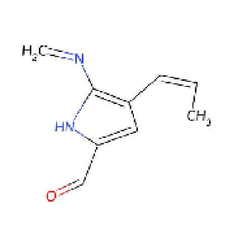 C=Nc1[nH]c(C=O)cc1/C=C\C